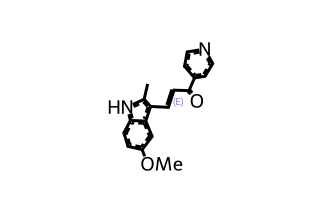 COc1ccc2[nH]c(C)c(/C=C/C(=O)c3ccncc3)c2c1